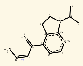 CC(C)N1CCc2c(C(=N)/C=C\N)ccnc21